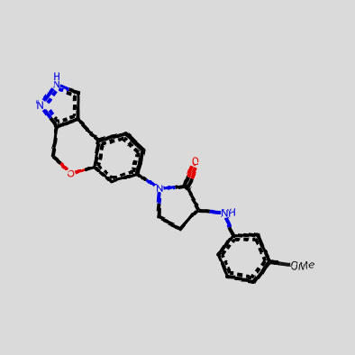 COc1cccc(NC2CCN(c3ccc4c(c3)OCc3n[nH]cc3-4)C2=O)c1